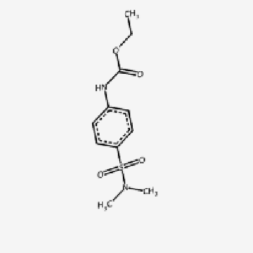 CCOC(=O)Nc1ccc(S(=O)(=O)N(C)C)cc1